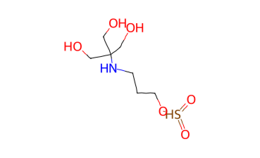 O=[SH](=O)OCCCNC(CO)(CO)CO